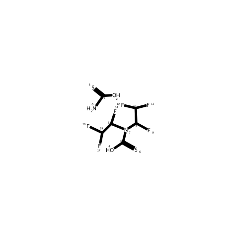 NC(O)=S.OC(=S)N(C(F)C(F)F)C(F)C(F)F